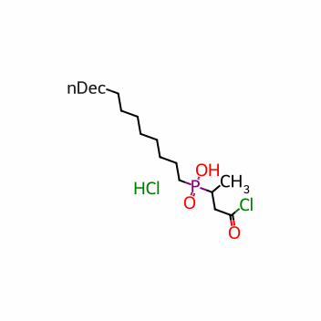 CCCCCCCCCCCCCCCCCCP(=O)(O)C(C)CC(=O)Cl.Cl